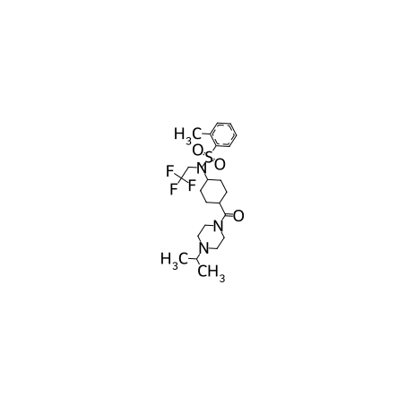 Cc1ccccc1S(=O)(=O)N(CC(F)(F)F)C1CCC(C(=O)N2CCN(C(C)C)CC2)CC1